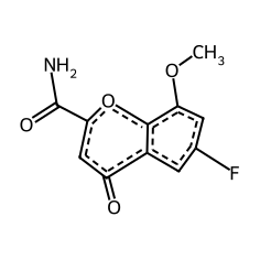 COc1cc(F)cc2c(=O)cc(C(N)=O)oc12